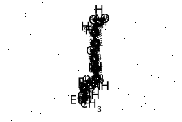 CCN(C)S(=O)(=O)Nc1ccc(F)c(C(=O)c2c[nH]c3ncc(-c4cnc(N5CCN(C(=O)CN6CCC(c7ccc(NC8CCC(=O)NC8=O)c(F)c7)CC6)CC5)nc4)cc23)c1F